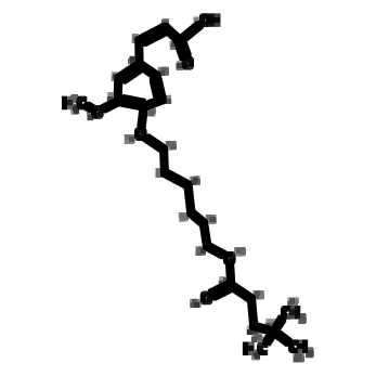 COc1cc(/C=C\C(=O)O)ccc1OCCCCCCOC(=O)CCC(C)(C)C